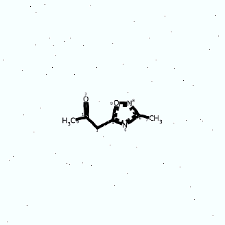 CC(=O)Cc1nc(C)no1